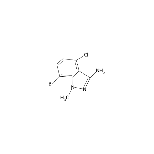 Cn1nc(N)c2c(Cl)ccc(Br)c21